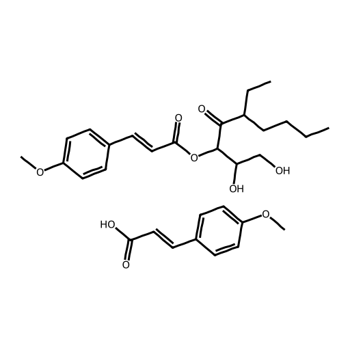 CCCCC(CC)C(=O)C(OC(=O)C=Cc1ccc(OC)cc1)C(O)CO.COc1ccc(C=CC(=O)O)cc1